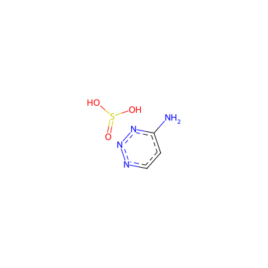 Nc1ccnnn1.O=S(O)O